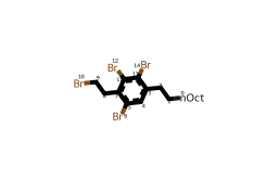 CCCCCCCCCCc1cc(Br)c(CCBr)c(Br)c1Br